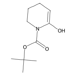 CC(C)(C)OC(=O)N1CCCC=C1O